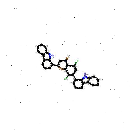 S=c1cc(-c2cccc3c2[nH]c2ccccc23)sc2c(Br)c(-c3cccc4c3[nH]c3ccccc34)cc(Br)c12